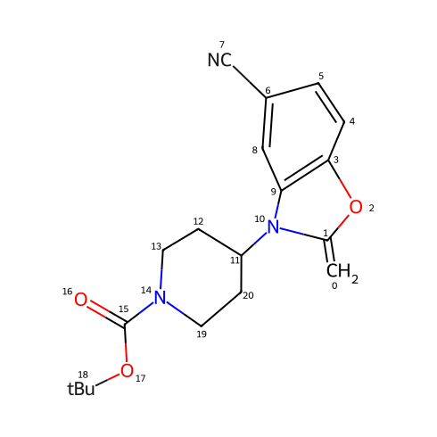 C=C1Oc2ccc(C#N)cc2N1C1CCN(C(=O)OC(C)(C)C)CC1